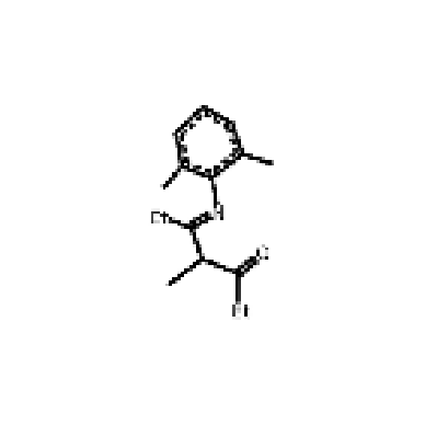 CCC(=O)C(C)C(CC)=Nc1c(C)cccc1C